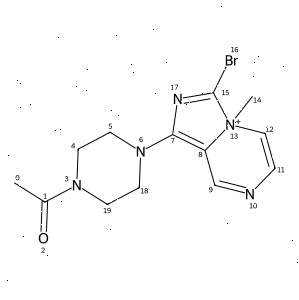 CC(=O)N1CCN(C2=C3C=NC=C[N+]3(C)C(Br)=N2)CC1